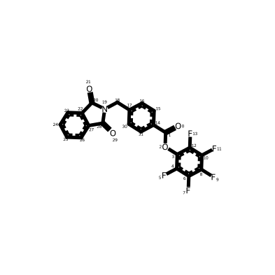 O=C(Oc1c(F)c(F)c(F)c(F)c1F)c1ccc(CN2C(=O)c3ccccc3C2=O)cc1